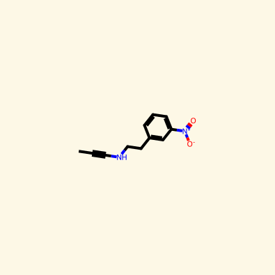 CC#CNCCc1cccc([N+](=O)[O-])c1